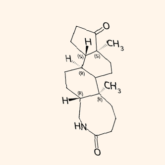 C[C@]12CCC3[C@@H](CC[C@H]4CNC(=O)CCC[C@]34C)[C@@H]1CCC2=O